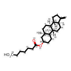 C=C1CC[C@H]2[C@@H]3CC[C@@H]4C[C@H](OC(=O)CCCCCC(=O)O)CC[C@]4(C)[C@H]3CC[C@]12C